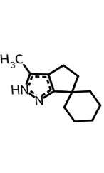 Cc1[nH]nc2c1CCC21CCCCC1